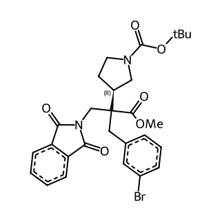 COC(=O)C(Cc1cccc(Br)c1)(CN1C(=O)c2ccccc2C1=O)[C@H]1CCN(C(=O)OC(C)(C)C)C1